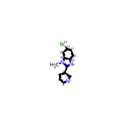 Cn1c(-c2cccnc2)nc2ccc(Br)cc21